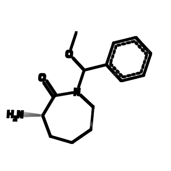 COC(c1ccccc1)N1CCCC[C@H](N)C1=O